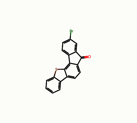 O=C1c2cc(Br)ccc2-c2c1ccc1c2sc2ccccc21